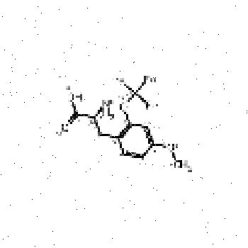 COc1ccc(C[C@H](N)C(=O)O)c(OC(F)(F)F)c1